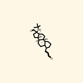 CC(C)(C)NC1(C=O)CC[C@H]2[C@@H]3CCC4C(C=C=C=O)CCC[C@]4(C)[C@H]3CC[C@@]21C